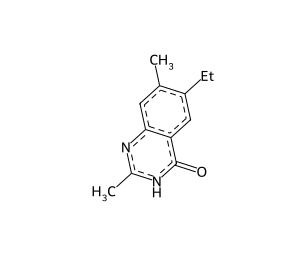 CCc1cc2c(=O)[nH]c(C)nc2cc1C